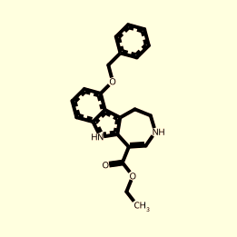 CCOC(=O)C1=CNCCc2c1[nH]c1cccc(OCc3ccccc3)c21